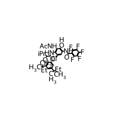 CCC(C)(C)c1ccc(OC(C(=O)Nc2c(Cl)cc(NC(=O)c3c(F)c(F)c(F)c(F)c3F)c(O)c2NC(C)=O)C(C)C)c(C(C)(C)CC)c1